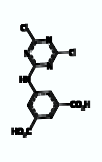 O=C(O)c1cc(Nc2nc(Cl)nc(Cl)n2)cc(C(=O)O)c1